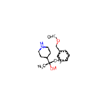 CC(C)(O)C1CCNCC1.O=COCc1ccccc1